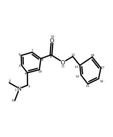 CN(C)Cc1cccc(C(=O)OCc2ccccc2)c1